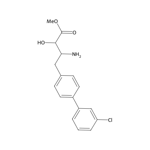 COC(=O)C(O)C(N)Cc1ccc(-c2cccc(Cl)c2)cc1